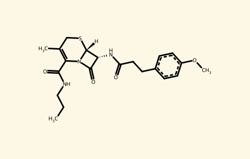 CCCNC(=O)C1=C(C)CS[C@@H]2[C@H](NC(=O)CCc3ccc(OC)cc3)C(=O)N12